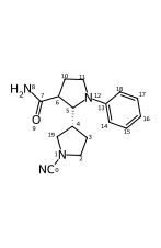 N#CN1CC[C@@H](C2C(C(N)=O)CCN2c2ccccc2)C1